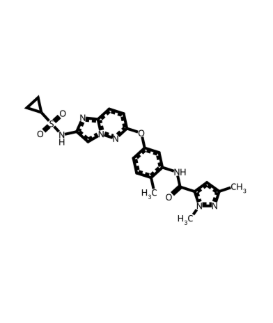 Cc1cc(C(=O)Nc2cc(Oc3ccc4nc(NS(=O)(=O)C5CC5)cn4n3)ccc2C)n(C)n1